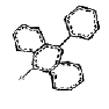 CCc1c2ccccc2c(-c2ccccc2)c2ccccc12